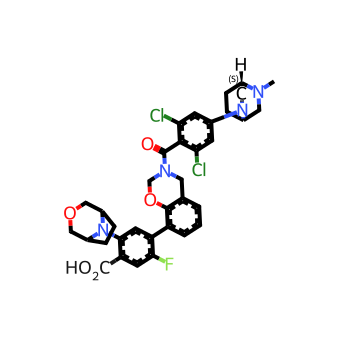 CN1CC2CC[C@H]1CN2c1cc(Cl)c(C(=O)N2COc3c(cccc3-c3cc(N4C5CCC4COC5)c(C(=O)O)cc3F)C2)c(Cl)c1